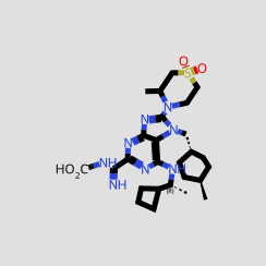 CC1CS(=O)(=O)CCN1c1nc2nc(C(=N)NC(=O)O)nc(N[C@H](C)C3CCC3)c2n1C[C@H]1CC[C@H](C)CC1